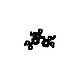 CCOc1c(/C=C2/C(=O)Nc3cc(C(=O)OC)ccc32)cccc1OC